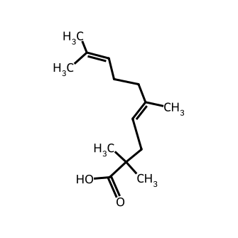 CC(C)=CCCC(C)=CCC(C)(C)C(=O)O